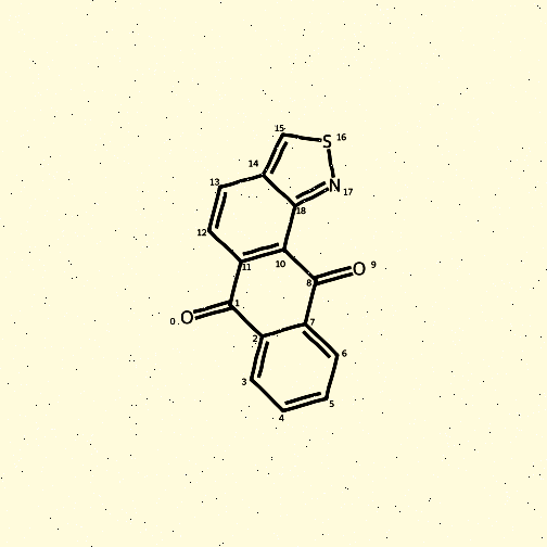 O=C1c2ccccc2C(=O)c2c1ccc1csnc21